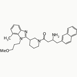 COCCCn1c(C2CCCN(C(=O)CC(N)Cc3ccc4ccccc4c3)C2)nc2cccc(C)c21